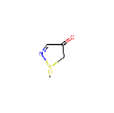 C[SH]1CC(=O)C=N1